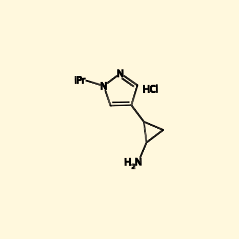 CC(C)n1cc(C2CC2N)cn1.Cl